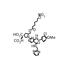 COc1ccc(CNc2nc(N3CCCC3COC(=O)CCCCCO[N+](=O)[O-])ncc2C(=O)NCc2ncccn2)cc1Cl.O=C(O)/C=C/C(=O)O